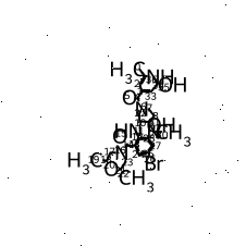 CC1=CC(C(=O)N2CCC[C@@H](Nc3c(C(=O)N4CC(C)O[C@@H](C)C4)cc(Br)cc3N(C)O)C2)=CC(O)N1